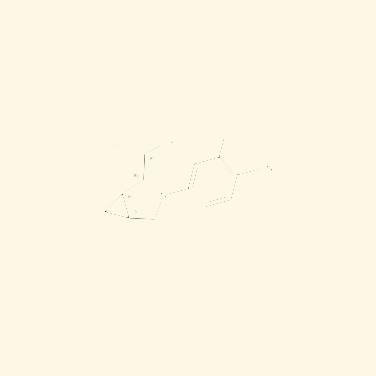 N#Cc1ccc(N2C[C@H]3C[C@H]3[C@@H]2[C@@H](O)C(F)(F)F)cc1Cl